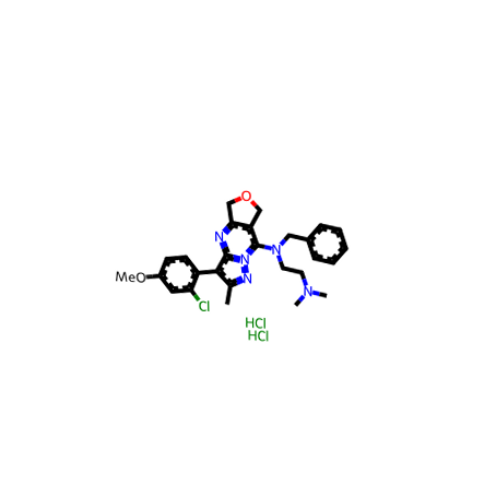 COc1ccc(-c2c(C)nn3c(N(CCN(C)C)Cc4ccccc4)c4c(nc23)COC4)c(Cl)c1.Cl.Cl